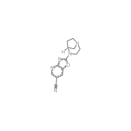 N#Cc1cnc2nc(N3CCN4CC[C@@H]3C4)oc2c1